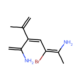 C=C(C)/C(=C/C(Br)=C(/C)N)C(=C)N